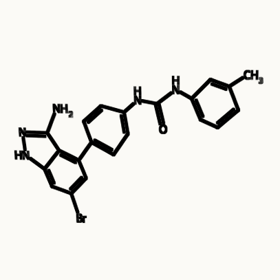 Cc1cccc(NC(=O)Nc2ccc(-c3cc(Br)cc4[nH]nc(N)c34)cc2)c1